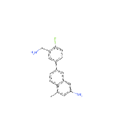 Cc1cc(N)cc2cc(-c3ccc(F)c(CN)c3)ccc12